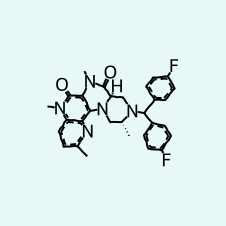 Cc1ccc2c(n1)c1c(c(=O)n2C)N(C)C(=O)[C@H]2CN(C(c3ccc(F)cc3)c3ccc(F)cc3)[C@H](C)CN12